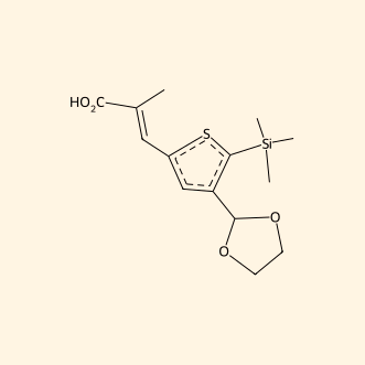 C/C(=C\c1cc(C2OCCO2)c([Si](C)(C)C)s1)C(=O)O